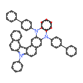 c1ccc(-c2ccc(N(c3ccccc3)c3cc4ccc5c(c4cc3N(c3ccccc3)c3ccc(-c4ccccc4)cc3)c3c4ccccc4ccc3n5-c3ccccc3)cc2)cc1